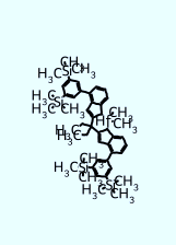 CCC1(CC)C2=Cc3c(-c4cc([Si](C)(C)C)cc([Si](C)(C)C)c4)cccc3[CH]2[Hf]([CH3])([CH3])[CH]2C1=Cc1c(-c3cc([Si](C)(C)C)cc([Si](C)(C)C)c3)cccc12